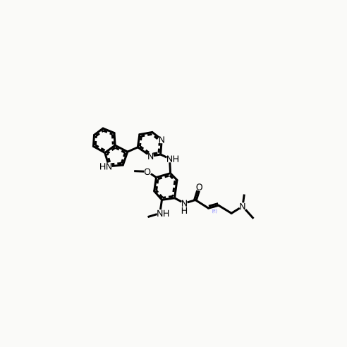 CNc1cc(OC)c(Nc2nccc(-c3c[nH]c4ccccc34)n2)cc1NC(=O)/C=C/CN(C)C